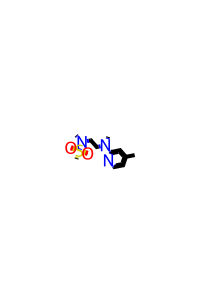 Cc1ccnc(N(C)CCN(C)S(C)(=O)=O)c1